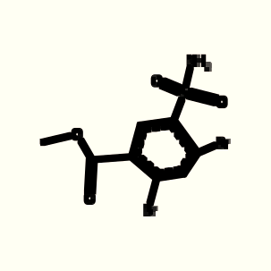 COC(=O)c1cc(S(N)(=O)=O)c(Br)cc1Br